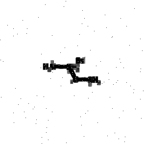 [SiH3]O[SiH2][SiH3].[Sn]